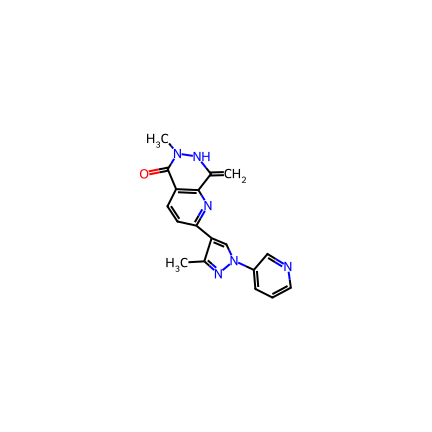 C=C1NN(C)C(=O)c2ccc(-c3cn(-c4cccnc4)nc3C)nc21